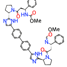 COO/C=N\[C@@H](CC(=O)N1CCC[C@H]1c1ncc(-c2ccc(-c3ccc(-c4cnc([C@@H]5CCCN5C(=O)C[C@H](NC(=O)OC)c5ccccc5)[nH]4)cc3)cc2)[nH]1)c1ccccc1